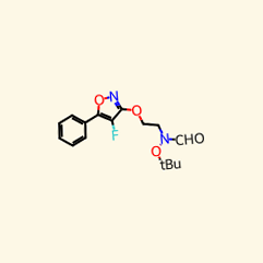 CC(C)(C)ON(C=O)CCOc1noc(-c2ccccc2)c1F